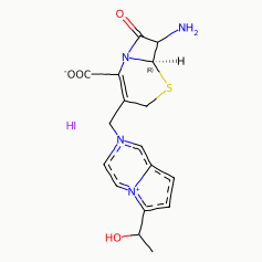 CC(O)c1ccc2cn(CC3=C(C(=O)[O-])N4C(=O)C(N)[C@H]4SC3)cc[n+]1-2.I